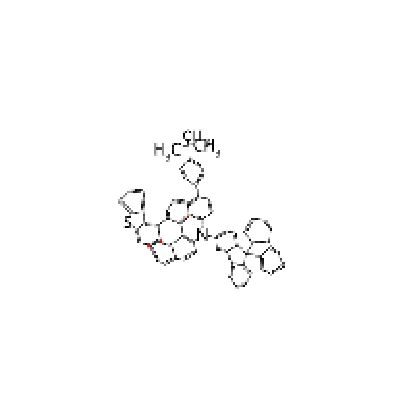 CC(C)(C)c1ccc(-c2ccc(N(c3ccc4c(c3)-c3ccccc3C4(c3ccccc3)c3ccccc3)c3ccc4ccccc4c3-c3ccccc3-c3cccc4sc5ccccc5c34)cc2)cc1